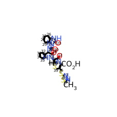 Cc1nnc(SCC2=C(C(=O)O)N3C(=O)C(NC(=O)C(NC(=O)n4c(=O)[nH]c5ccccc54)c4ccccc4)[C@@H]3SC2)s1